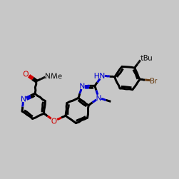 CNC(=O)c1cc(Oc2ccc3c(c2)nc(Nc2ccc(Br)c(C(C)(C)C)c2)n3C)ccn1